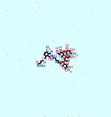 CNC(=O)CCC(=O)OCC1C=CC(C)C2C(=O)N(NC(=O)CCCCCOC3OC(C)C(O)C(OC4OC(CO)C(O)C(OC5OC(CO)C(O)C(O)C5OC5OC(C)C(O)C(O)C5O)C4NC(C)=O)C3O)C(=O)C12